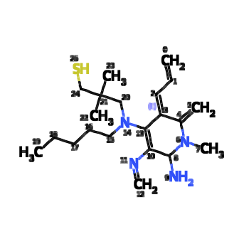 C=C/C=C1\C(=C)N(C)C(N)C(N=C)=C1N(CCCCC)CC(C)(C)CS